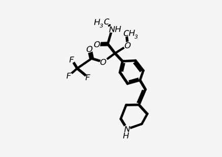 CNC(=O)C(OC)(OC(=O)C(F)(F)F)c1ccc(C=C2CCNCC2)cc1